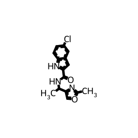 Cc1nc(C(C)NC(=O)c2cc3cc(Cl)ccc3[nH]2)co1